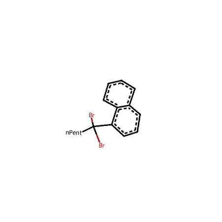 CCCCCC(Br)(Br)c1cccc2ccccc12